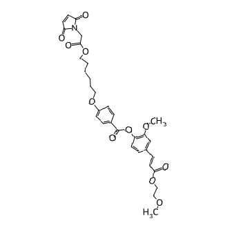 COCCOC(=O)/C=C/c1ccc(OC(=O)c2ccc(OCCCCCCOC(=O)CN3C(=O)C=CC3=O)cc2)c(OC)c1